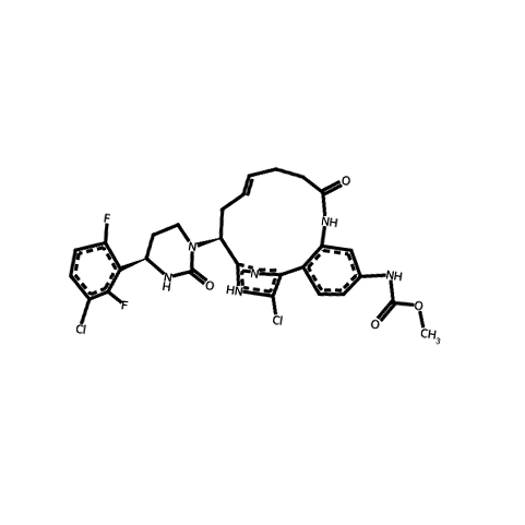 COC(=O)Nc1ccc2c(c1)NC(=O)CC/C=C/C[C@H](N1CC[C@H](c3c(F)ccc(Cl)c3F)NC1=O)c1nc-2c(Cl)[nH]1